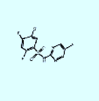 O=S(=O)(Nc1ncc(F)cn1)c1cc(Cl)c(F)cc1F